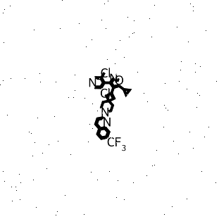 FC(F)(F)c1ccc2ccc(N3CCC4(C=C(c5c(-c6c(Cl)cncc6Cl)noc5C5CC5)C4)CC3)nc2c1